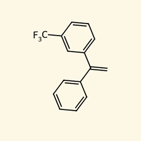 C=C(c1ccccc1)c1cccc(C(F)(F)F)c1